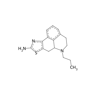 CCCN1CCc2cccc3c2C1Cc1sc(N)nc1-3